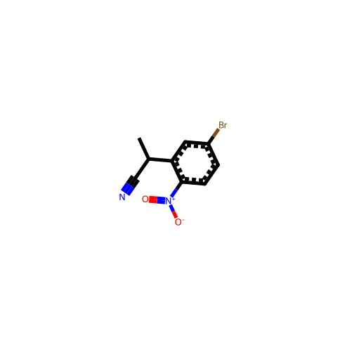 CC(C#N)c1cc(Br)ccc1[N+](=O)[O-]